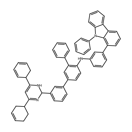 C1=CCC(C2=CC(C3CC=CCC3)=NC(c3cccc(-c4ccc(Nc5cccc(-c6cccc7c8ccccc8n(-c8ccccc8)c67)c5)c(-c5ccccc5)c4)c3)N2)C=C1